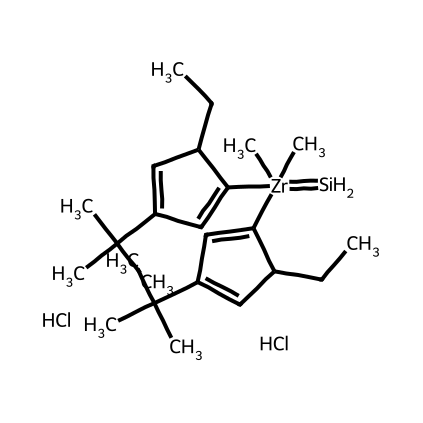 CCC1C=C(C(C)(C)C)C=[C]1[Zr]([CH3])([CH3])(=[SiH2])[C]1=CC(C(C)(C)C)=CC1CC.Cl.Cl